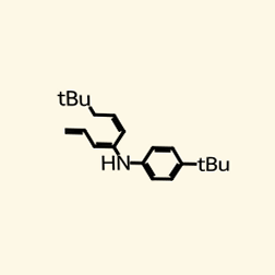 C=C/C=C(\C=C/CC(C)(C)C)Nc1ccc(C(C)(C)C)cc1